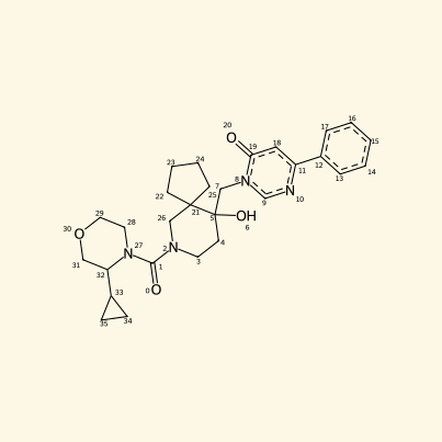 O=C(N1CCC(O)(Cn2cnc(-c3ccccc3)cc2=O)C2(CCCC2)C1)N1CCOCC1C1CC1